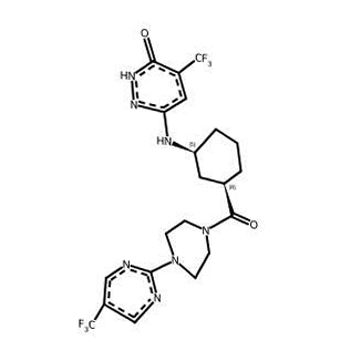 O=C([C@@H]1CCC[C@H](Nc2cc(C(F)(F)F)c(=O)[nH]n2)C1)N1CCN(c2ncc(C(F)(F)F)cn2)CC1